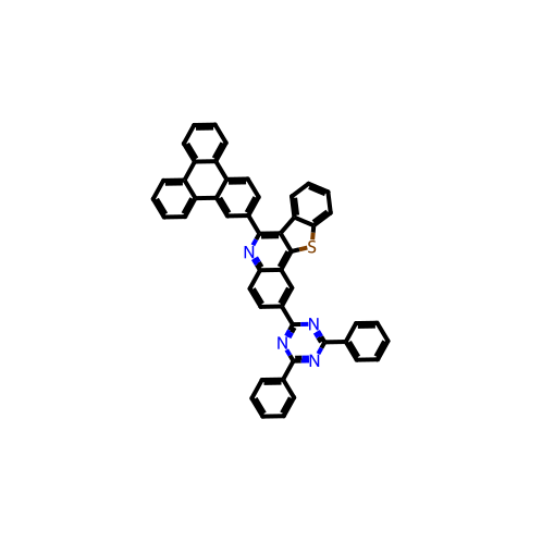 c1ccc(-c2nc(-c3ccccc3)nc(-c3ccc4nc(-c5ccc6c7ccccc7c7ccccc7c6c5)c5c6ccccc6sc5c4c3)n2)cc1